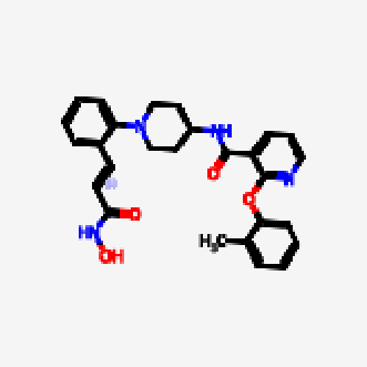 Cc1ccccc1Oc1ncccc1C(=O)NC1CCN(c2ccccc2/C=C/C(=O)NO)CC1